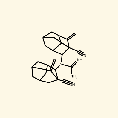 C=C1C2CC3CC(C2)C(N(C(=N)N)C2C4CC5CC(C4)C(=C)C2(C#N)C5)C1(C#N)C3